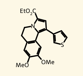 CCOC(=O)c1cc(-c2ccsc2)c2n1CCc1cc(OC)c(OC)cc1-2